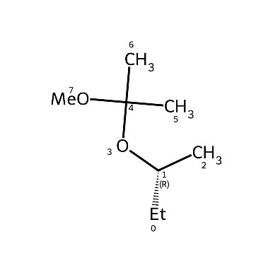 CC[C@@H](C)OC(C)(C)OC